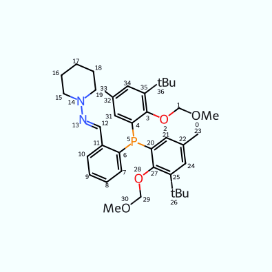 COCOc1c(P(c2ccccc2/C=N/N2CCCCC2)c2cc(C)cc(C(C)(C)C)c2OCOC)cc(C)cc1C(C)(C)C